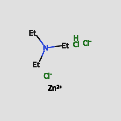 CCN(CC)CC.Cl.[Cl-].[Cl-].[Zn+2]